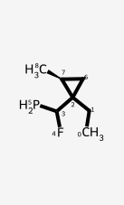 CCC1(C(F)P)C[C@@H]1C